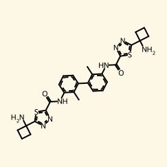 Cc1c(NC(=O)c2nnc(C3(N)CCC3)s2)cccc1-c1cccc(NC(=O)c2nnc(C3(N)CCC3)s2)c1C